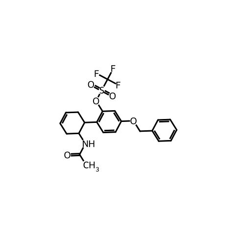 CC(=O)NC1CC=CCC1c1ccc(OCc2ccccc2)cc1OS(=O)(=O)C(F)(F)F